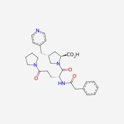 O=C(Cc1ccccc1)N[C@H](CCC(=O)N1CCCC1)C(=O)N1C[C@H](Cc2ccncc2)C[C@H]1C(=O)O